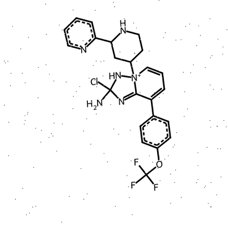 NC1(Cl)N=C2C(c3ccc(OC(F)(F)F)cc3)=CC=C[N+]2(C2CCNC(c3ccccn3)C2)N1